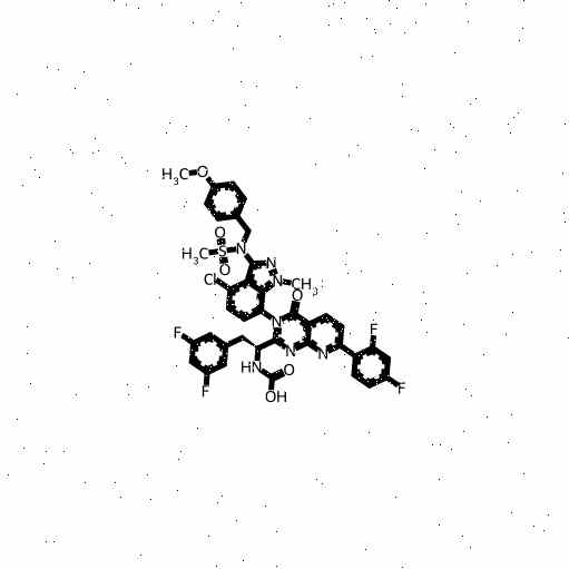 COc1ccc(CN(c2nn(C)c3c(-n4c([C@H](Cc5cc(F)cc(F)c5)NC(=O)O)nc5nc(-c6ccc(F)cc6F)ccc5c4=O)ccc(Cl)c23)S(C)(=O)=O)cc1